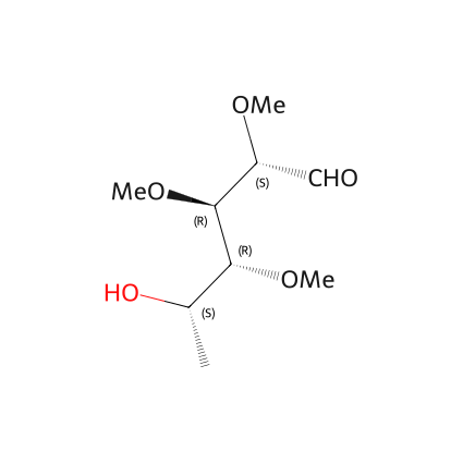 CO[C@H]([C@H](OC)[C@H](C)O)[C@@H](C=O)OC